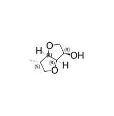 C[C@H]1CO[C@H]2[C@@H]1OC[C@H]2O